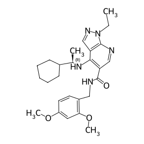 CCn1ncc2c(N[C@H](C)C3CCCCC3)c(C(=O)NCc3ccc(OC)cc3OC)cnc21